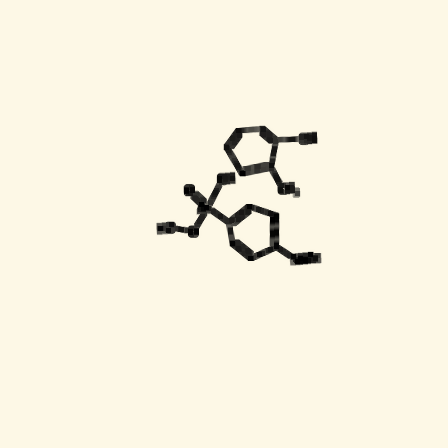 CC(=O)Nc1ccc([As](=O)(O)OO)cc1.Cc1ccccc1O